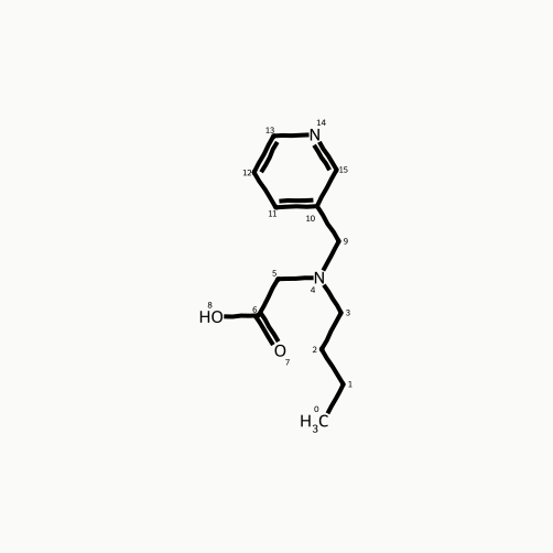 CCCCN(CC(=O)O)Cc1cccnc1